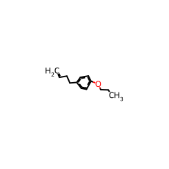 C=CCCc1ccc(OCCC)cc1